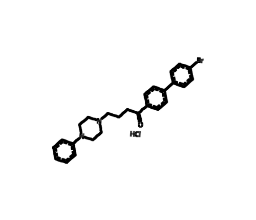 Cl.O=C(CCCN1CCN(c2ccccc2)CC1)c1ccc(-c2ccc(Br)cc2)cc1